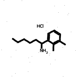 CCCCCC(N)c1cccc(C)c1C.Cl